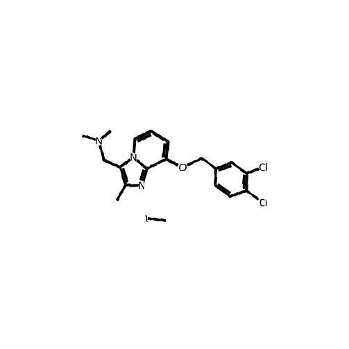 CI.Cc1nc2c(OCc3ccc(Cl)c(Cl)c3)cccn2c1CN(C)C